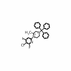 C[C@H]1CN(C(c2ccccc2)(c2ccccc2)c2ccccc2)CCN1c1cc(I)c(Cl)c(F)n1